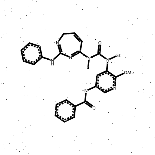 CCN(C(=O)N(C)C1=NC(Nc2ccccc2)=NCC=C1)c1cc(NC(=O)c2ccccc2)cnc1OC